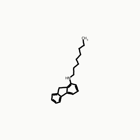 CCCCCCCCNc1cccc2c1Cc1ccccc1-2